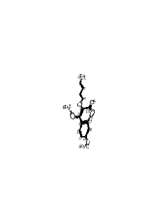 CCC=CCCOc1c(OC(C)C)c2ccc(OC(C)C)cc2oc1=O